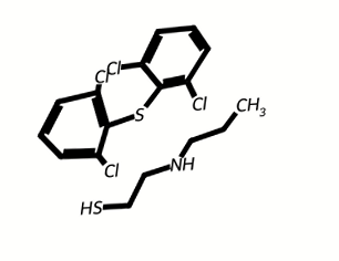 CCCNCCS.Clc1cccc(Cl)c1Sc1c(Cl)cccc1Cl